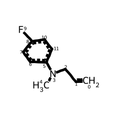 C=CCN(C)c1ccc(F)cc1